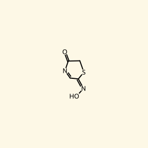 O=C1CSC(=NO)C=N1